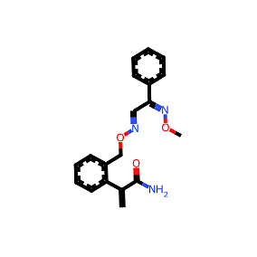 C=C(C(N)=O)c1ccccc1CON=CC(=NOC)c1ccccc1